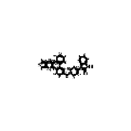 O=c1[nH]c2ccccc2n1C1CCN(Cc2ccc(-c3nc4cscc4nc3-c3ccccc3)cc2)CC1